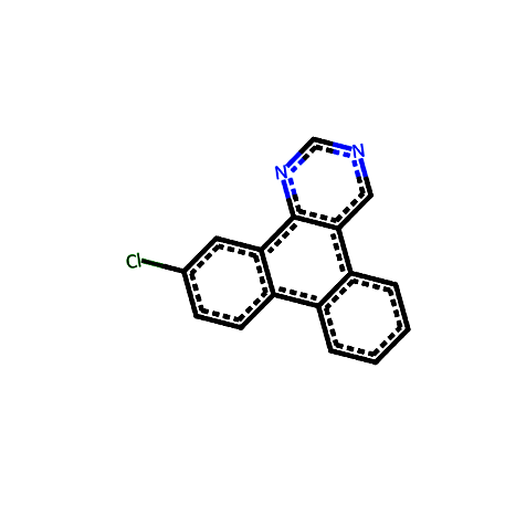 Clc1ccc2c3ccccc3c3cncnc3c2c1